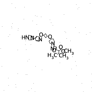 COC(=O)C(c1cc(N2CCC(O[C@H]3C[C@H](Oc4cc(N5C6CCC5CNC6)ccn4)C3)CC2)no1)C(C)C